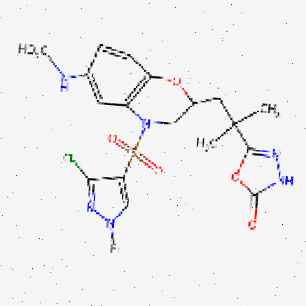 CCn1cc(S(=O)(=O)N2CC(CC(C)(C)c3n[nH]c(=O)o3)Oc3ccc(NC(=O)O)cc32)c(Cl)n1